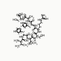 CC(C)[C@@H](N)C(=O)N[C@H](Cc1c[nH]cn1)C(=O)N[C@@H](C(=O)N[C@H](CO)C(=O)N[C@H](CCCNC(=N)N)C(=O)N[C@H](Cc1c[nH]cn1)C(=O)N[C@H](C)C(=O)N[C@H](CO)C(=O)O)[C@H](C)O